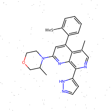 CSc1ccccc1-c1cc(N2CCOCC2C)nc2c(-c3ccn[nH]3)ncc(C)c12